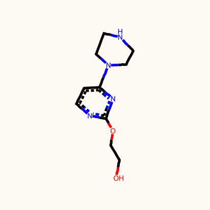 OCCOc1nccc(N2CCNCC2)n1